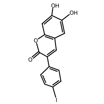 O=c1oc2cc(O)c(O)cc2cc1-c1ccc(I)cc1